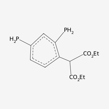 CCOC(=O)C(C(=O)OCC)c1ccc(P)cc1P